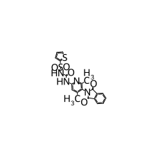 Cc1cc(NC(=O)NS(=O)(=O)c2cccs2)nc(C)c1N1C(=O)c2ccccc2C1=O